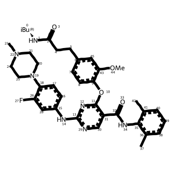 CC[C@@H](C)NC(=O)CCc1ccc(Oc2nc(Nc3ccc(N4CCN(C)CC4)c(F)c3)ncc2C(=O)Nc2c(C)cccc2C)c(OC)c1